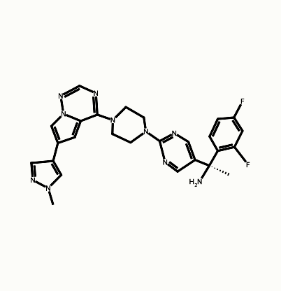 Cn1cc(-c2cc3c(N4CCN(c5ncc([C@](C)(N)c6ccc(F)cc6F)cn5)CC4)ncnn3c2)cn1